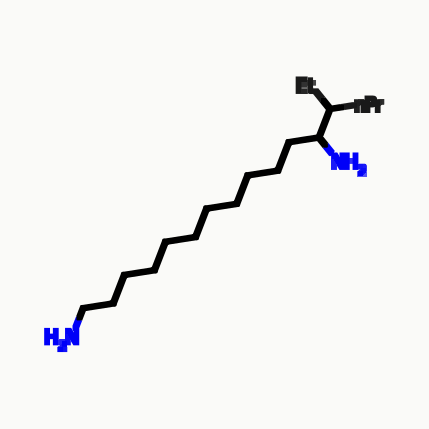 CCCC(CC)C(N)CCCCCCCCCCCN